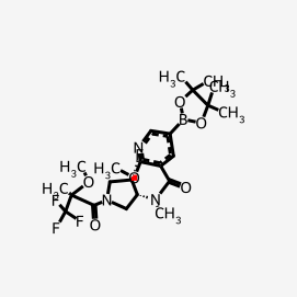 COc1ncc(B2OC(C)(C)C(C)(C)O2)cc1C(=O)N(C)[C@@H]1CN(C(=O)[C@@](C)(OC)C(F)(F)F)C[C@@H]1F